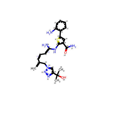 C=C(/C=C\C=C(/N)Nc1sc(-c2ccccc2N)cc1C(N)=O)Cn1cc(C(C)(C)O)nn1